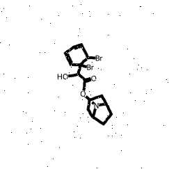 CN1C2CCC1CC(OC(=O)C(O)C1(Br)C=CC=CC1Br)C2